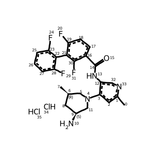 Cc1cc(N2C[C@H](C)C[C@H](N)C2)c(NC(=O)c2ccc(F)c(-c3c(F)cccc3F)c2F)cn1.Cl.Cl